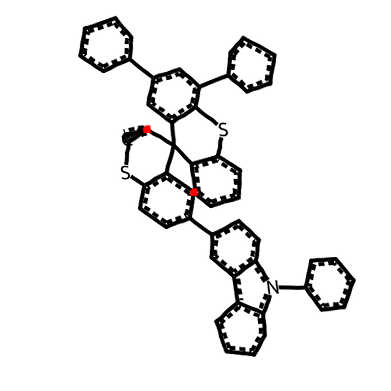 c1ccc(-c2cc(-c3ccccc3)c3c(c2)C2(c4ccccc4Sc4ccc(-c5ccc6c(c5)c5ccccc5n6-c5ccccc5)cc42)c2ccccc2S3)cc1